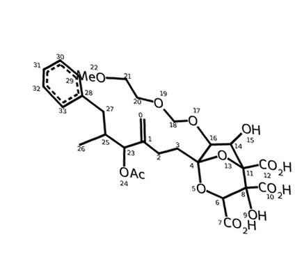 C=C(CCC12OC(C(=O)O)C(O)(C(=O)O)C(C(=O)O)(O1)C(O)C2OCOCCOC)C(OC(C)=O)C(C)Cc1ccccc1